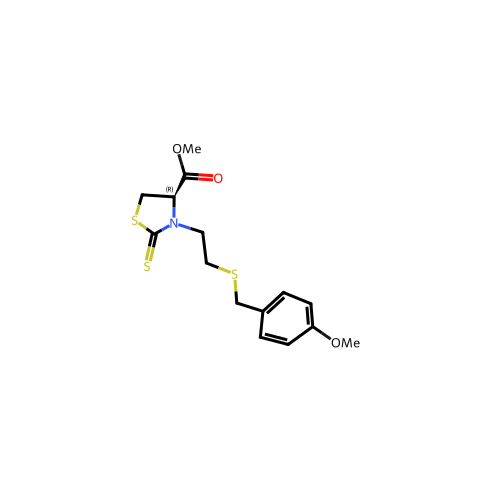 COC(=O)[C@@H]1CSC(=S)N1CCSCc1ccc(OC)cc1